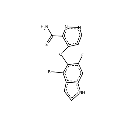 NC(=S)c1nnccc1Oc1c(F)cc2[nH]ccc2c1Br